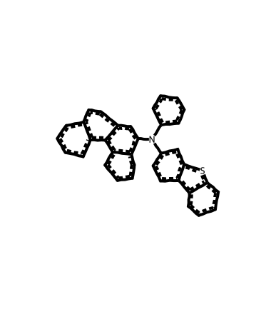 c1ccc(N(c2ccc3c(c2)sc2ccccc23)c2cc3ccc4ccccc4c3c3ccccc23)cc1